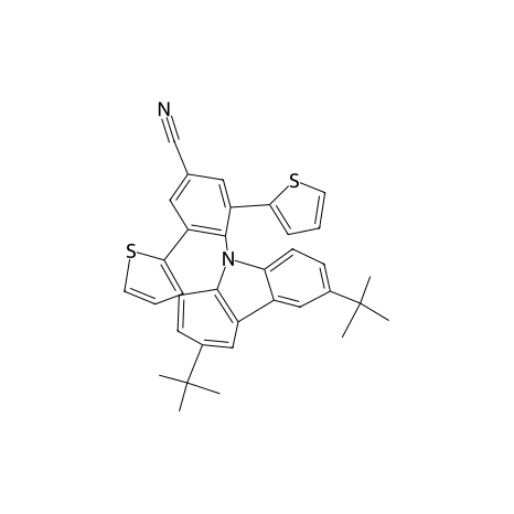 CC(C)(C)c1ccc2c(c1)c1cc(C(C)(C)C)ccc1n2-c1c(-c2cccs2)cc(C#N)cc1-c1cccs1